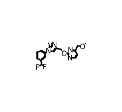 COCc1ccnc(OCc2cn(-c3cccc(C(F)F)c3)nn2)n1